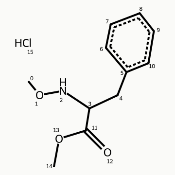 CONC(Cc1ccccc1)C(=O)OC.Cl